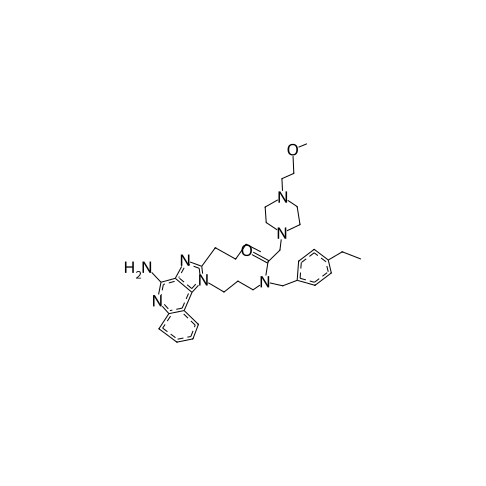 CCCCc1nc2c(N)nc3ccccc3c2n1CCCN(Cc1ccc(CC)cc1)C(=O)CN1CCN(CCOC)CC1